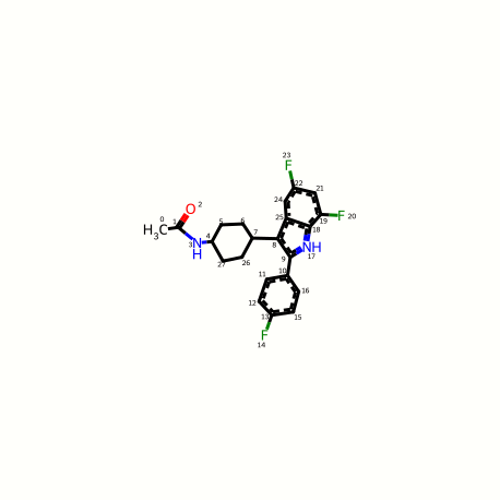 CC(=O)NC1CCC(c2c(-c3ccc(F)cc3)[nH]c3c(F)cc(F)cc23)CC1